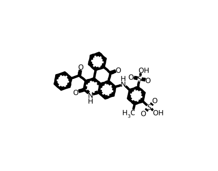 Cc1cc(Nc2ccc3[nH]c(=O)c(C(=O)c4ccccc4)c4c3c2C(=O)c2ccccc2-4)c(S(=O)(=O)O)cc1S(=O)(=O)O